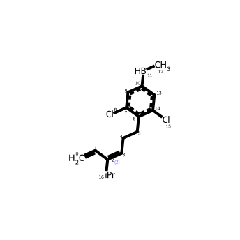 C=C/C(=C\CCc1c(Cl)cc(BC)cc1Cl)C(C)C